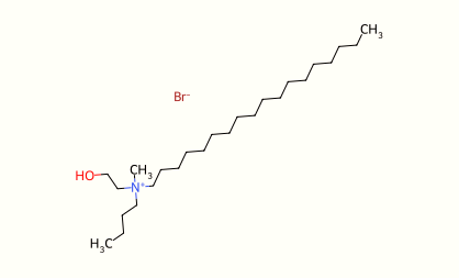 CCCCCCCCCCCCCCCCCC[N+](C)(CCO)CCCC.[Br-]